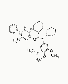 COc1cc(C(C(=O)N2CCCC[C@H]2C(=O)N[C@H](C(N)=O)c2ccccc2)C2CCCCC2)cc(OC)c1OC